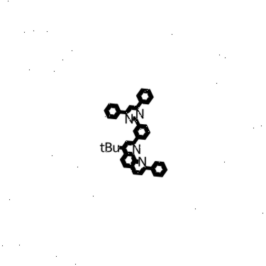 CC(C)(C)c1cc(-c2cccc(-c3nc(-c4ccccc4)cc(-c4ccccc4)n3)c2)nc2c1ccc1ccc(-c3ccccc3)nc12